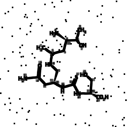 CC(O)[C@@H](N)CN(C)NC[C@@H](CC(N)=O)NC(=S)N[C@H](CO)C(=O)O